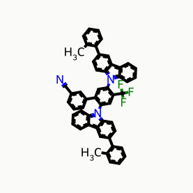 Cc1ccccc1-c1ccc2c(c1)c1ccccc1n2-c1cc(C(F)(F)F)c(-n2c3ccccc3c3cc(-c4ccccc4C)ccc32)cc1-c1cccc(C#N)c1